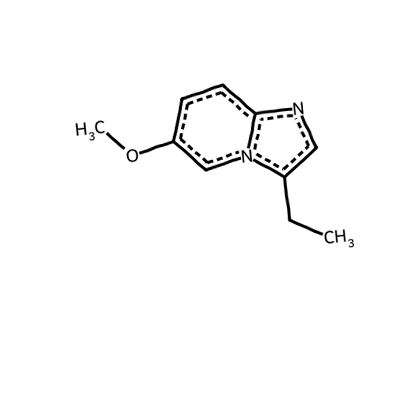 CCc1cnc2ccc(OC)cn12